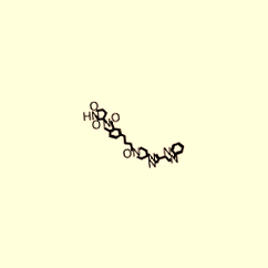 O=C1CCC(N2Cc3ccc(CCCC(=O)N4CCC(n5cc(-c6cnc7ccccc7n6)cn5)CC4)cc3C2=O)C(=O)N1